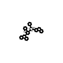 c1ccc(C2=NC(c3ccc(-c4cc5ccccc5c5ccccc45)c4oc5ccccc5c34)=NC(c3ccc4c(ccc5ccccc54)c3)N2)cc1